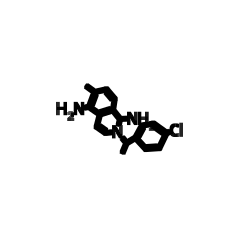 Cc1ccc2c(c1N)C=CN(C(C)c1ccc(Cl)cc1)C2N